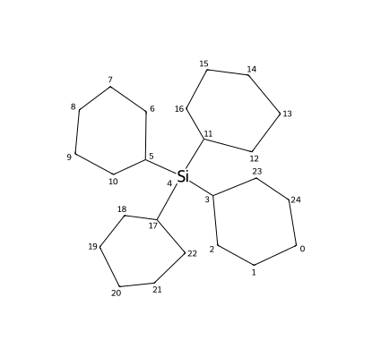 C1CCC([Si](C2CCCCC2)(C2CCCCC2)C2CCCCC2)CC1